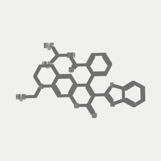 CCN1CCCc2cc3c(-c4ccccc4C(=O)NC(C)C)c(-c4nc5ccccc5s4)c(=O)oc3cc21